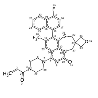 C=CC(=O)N1CCN(c2nc(=O)n3c4c(c(-c5ccc(F)c6ccccc56)c(C(F)(F)F)cc24)SCC2(COC2)C3)CC1